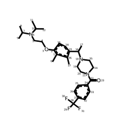 Cc1c(OCCN(C(C)C)C(C)C)ccc(C(C)N2CCN(C(=O)c3ccc(C(F)(F)F)cc3)CC2)c1C